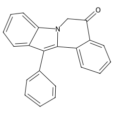 O=C1Cn2c(c(-c3ccccc3)c3ccccc32)-c2ccccc21